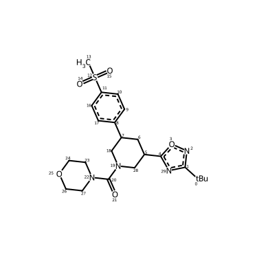 CC(C)(C)c1noc(C2CC(c3ccc(S(C)(=O)=O)cc3)CN(C(=O)N3CCOCC3)C2)n1